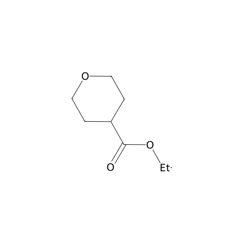 C[CH]OC(=O)C1CCOCC1